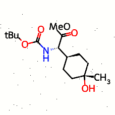 COC(=O)[C@@H](NC(=O)OC(C)(C)C)[C@H]1CC[C@](C)(O)CC1